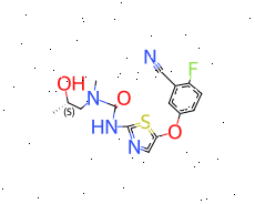 C[C@H](O)CN(C)C(=O)Nc1ncc(Oc2ccc(F)c(C#N)c2)s1